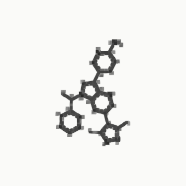 Cc1noc(C)c1-c1cnc2c(-c3ccc(N)nc3)cn(C(C)c3ccccc3)c2c1